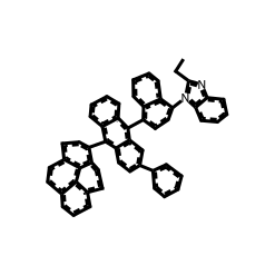 CCc1nc2ccccc2n1-c1ccc(-c2c3ccccc3c(-c3ccc4ccc5cccc6ccc3c4c56)c3ccc(-c4ccccc4)cc23)c2ccccc12